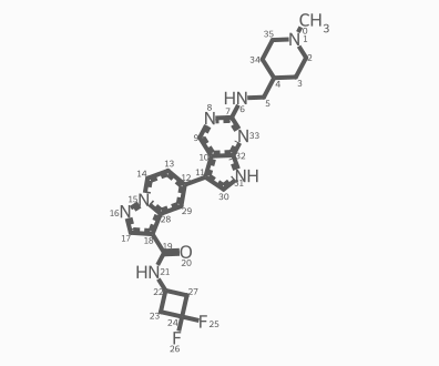 CN1CCC(CNc2ncc3c(-c4ccn5ncc(C(=O)NC6CC(F)(F)C6)c5c4)c[nH]c3n2)CC1